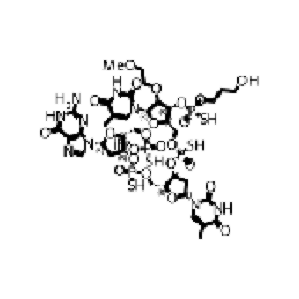 COCCOC1[C@@H](OP(=O)(S)OCCCO)[C@@H](COP(=O)(S)O[C@@H]2C[C@H](n3cc(C)c(=O)[nH]c3=O)O[C@@H]2COP(=O)(S)O[C@@H]2C[C@H](n3cnc4c(=O)[nH]c(N)nc43)O[C@@H]2COP(=O)(S)OC(C)C)O[C@H]1n1cc(C)c(=O)[nH]c1=O